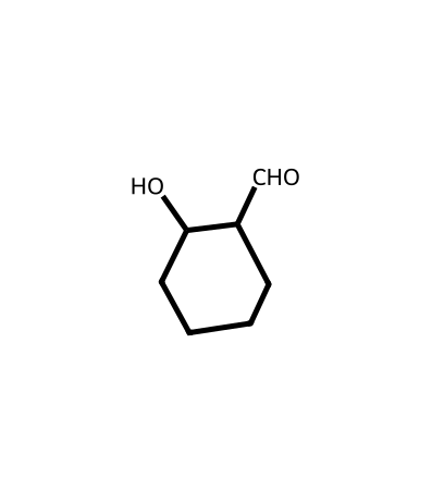 O=CC1CCCCC1O